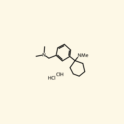 CNC1(c2cccc(CN(C)C)c2)CCCCC1.Cl.Cl